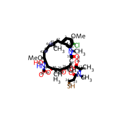 COc1cc2cc(c1Cl)N(C)C(=O)CC(OC(=O)C(C)N(C)C(=O)CCS)[C@]1(C)O[C@H]1C(C)C1C[C@@](O)(NC(=O)O1)[C@H](OC)/C=C/C=C(\C)C2